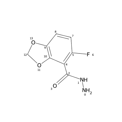 NNC(=O)c1c(F)ccc2c1OCO2